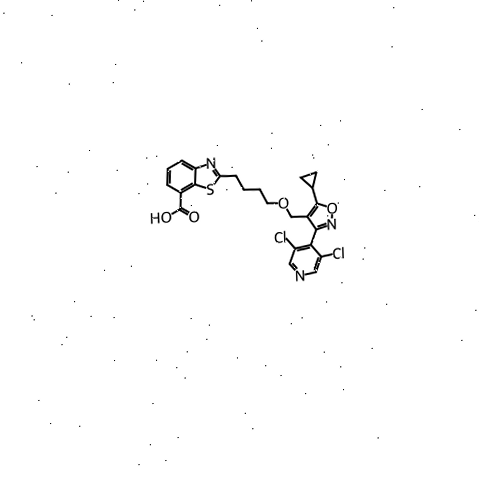 O=C(O)c1cccc2nc(CCCCOCc3c(-c4c(Cl)cncc4Cl)noc3C3CC3)sc12